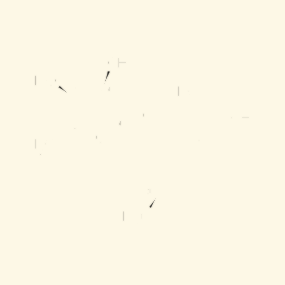 C=C1O[C@@H](OC2C[C@H](C)CC[C@H]2C(C)C)[C@H](C)[C@@H]1O